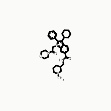 CN1CCCC(CNC(=O)c2ccc3c(C4CCCCC4)c(-c4ccccc4)n(CC(=O)N4CCOCC4)c3c2)C1